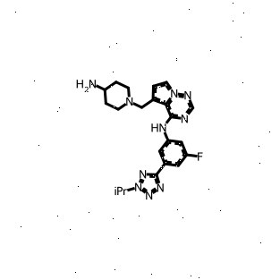 CC(C)n1nnc(-c2cc(F)cc(Nc3ncnn4ccc(CN5CCC(N)CC5)c34)c2)n1